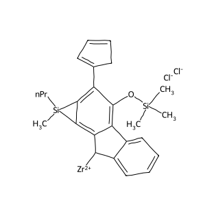 CCC[Si]1(C)c2c(C3=CC=CC3)c(O[Si](C)(C)C)c3c(c21)[CH]([Zr+2])c1ccccc1-3.[Cl-].[Cl-]